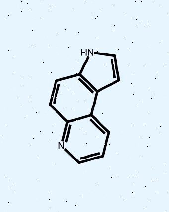 c1cnc2ccc3[nH]ccc3c2c1